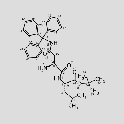 CC(C)C[C@H](NC(=O)[C@@H](N)CC(=O)NC(c1ccccc1)(c1ccccc1)c1ccccc1)C(=O)OC(C)(C)C